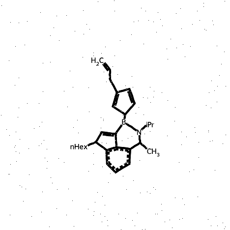 C=CCC1=CC(B2C3=CC(CCCCCC)c4cccc(c43)C(C)N2C(C)C)C=C1